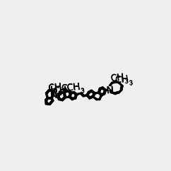 CC1(C)C/C=C\C=C/CN(c2ccc3c(c2)CCc2cc(/C=C/c4ccc5c(c4)C(C)(C)c4cc(N6c7ccccc7C=CC6(C)C)ccc4-5)ccc2-3)CC1